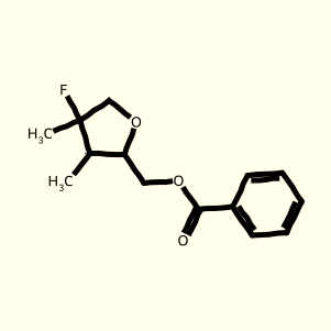 C[C]1C(COC(=O)c2ccccc2)O[CH]C1(C)F